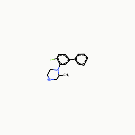 CC1CNCCN1c1cc(-c2ccccc2)ccc1F